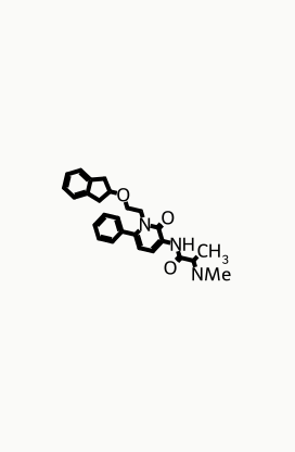 CNC(C)C(=O)Nc1ccc(-c2ccccc2)n(CCOC2Cc3ccccc3C2)c1=O